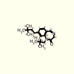 CC(C)(C)CCc1ccc2c(c1)N(CC(C)(C)C)C(=O)CN=C2